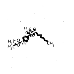 CCCCCCCCS(=O)(=O)N(C)S(=O)(=O)c1ccc(NC(=O)OC(C)C)cc1